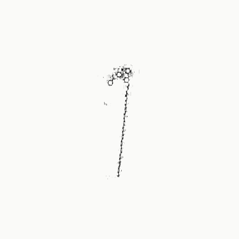 CC[C@H]1C[C@@H](C(=O)NCCNC(=O)CCOCCOCCOCCOCCOCCOCCOCCOCCOCCOCCOCCOC)C[C@@H](O[C@@H]2O[C@H](CO)[C@H](O)[C@H](O[C@@H](CC3CCCCC3)C(=O)[O-])[C@H]2NC(C)=O)[C@@H]1O[C@@H]1O[C@@H](C)[C@@H](O)[C@@H](O)[C@@H]1O.[Na+]